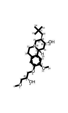 COC[C@@H](O)COc1cc2c(cc1OC)[C@H]1C[C@@H](O)[C@H](CC(C)(C)C)CN1CC2